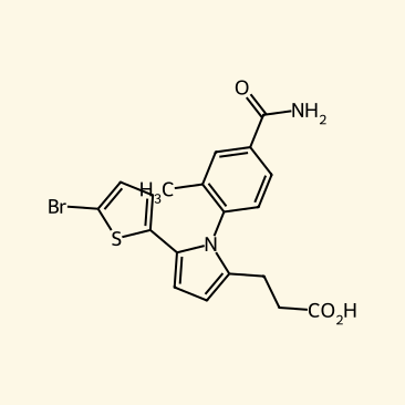 Cc1cc(C(N)=O)ccc1-n1c(CCC(=O)O)ccc1-c1ccc(Br)s1